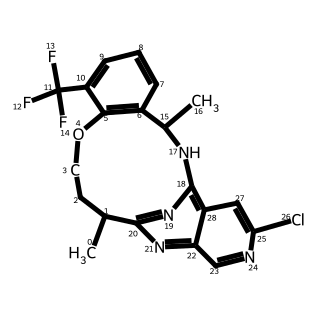 CC1CCOc2c(cccc2C(F)(F)F)C(C)Nc2nc1nc1cnc(Cl)cc21